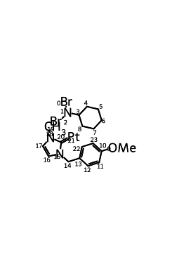 BrN(Br)C1CCCCC1.COc1ccc(Cn2ccn(C)[c]2=[Pt])cc1